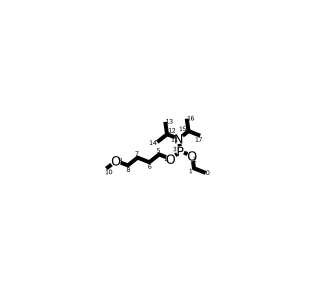 CCOP(OCCCCOC)N(C(C)C)C(C)C